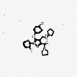 O=C(c1nn(-c2ccccc2Cl)c(Oc2ccc(Cl)cc2)c1CNC1CCCC1)N1CCCC1